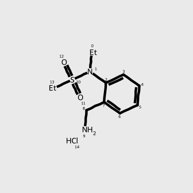 CCN(c1ccccc1CN)S(=O)(=O)CC.Cl